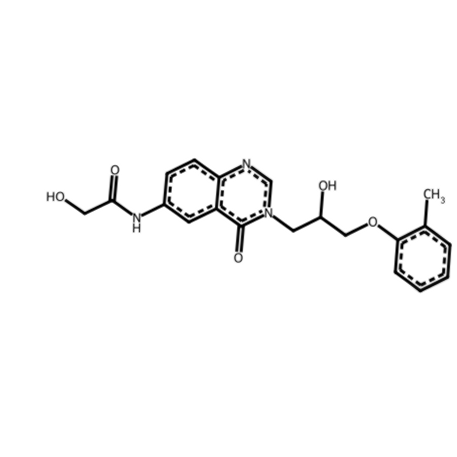 Cc1ccccc1OCC(O)Cn1cnc2ccc(NC(=O)CO)cc2c1=O